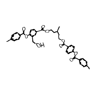 Cc1ccc(C(=O)Oc2ccc(C(=O)OCCC(C)CCOC(=O)c3ccc(OC(=O)c4ccc(C)cc4)c(CO)c3)cc2)cc1